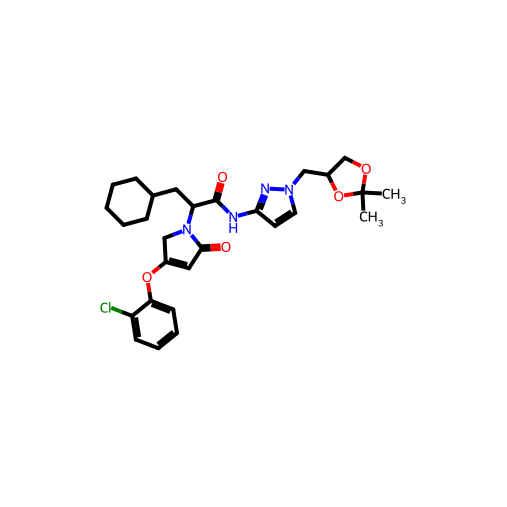 CC1(C)OCC(Cn2ccc(NC(=O)C(CC3CCCCC3)N3CC(Oc4ccccc4Cl)=CC3=O)n2)O1